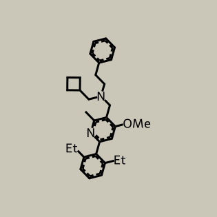 CCc1cccc(CC)c1-c1cc(OC)c(CN(CCc2ccccc2)CC2CCC2)c(C)n1